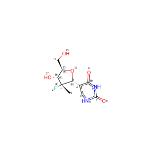 C[C@]1(F)[C@@H](c2c[nH]c(=O)[nH]c2=O)O[C@H](CO)[C@H]1O